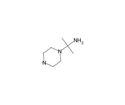 CC(C)(N)N1CC[N]CC1